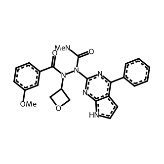 CNC(=O)N(c1nc(-c2ccccc2)c2cc[nH]c2n1)N(C(=O)c1cccc(OC)c1)C1COC1